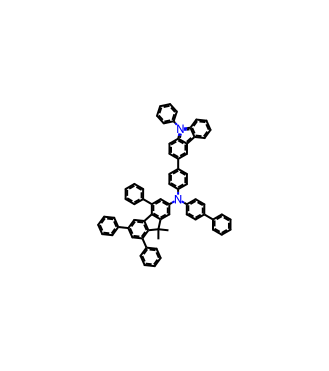 CC1(C)c2cc(N(c3ccc(-c4ccccc4)cc3)c3ccc(-c4ccc5c(c4)c4ccccc4n5-c4ccccc4)cc3)cc(-c3ccccc3)c2-c2cc(-c3ccccc3)cc(-c3ccccc3)c21